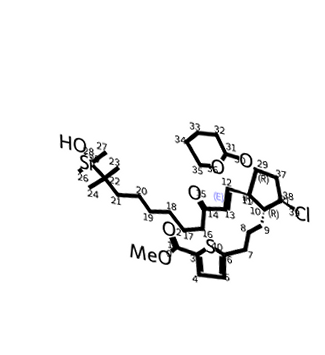 COC(=O)c1ccc(CCC[C@@H]2[C@@H](/C=C/C(=O)CCCCCCC(C)(C)[Si](C)(C)O)[C@H](OC3CCCCO3)C[C@H]2Cl)s1